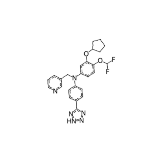 FC(F)Oc1ccc(N(Cc2cccnc2)c2ccc(-c3nn[nH]n3)cc2)cc1OC1CCCC1